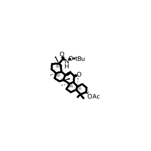 CC(=O)O[C@H]1CC[C@@]2(C)C(CC[C@]3(C)C2C(=O)C=C2C4C[C@@](C)(C(=O)NOC(C)(C)C)CC[C@]4(C)CC[C@]23C)C1(C)C